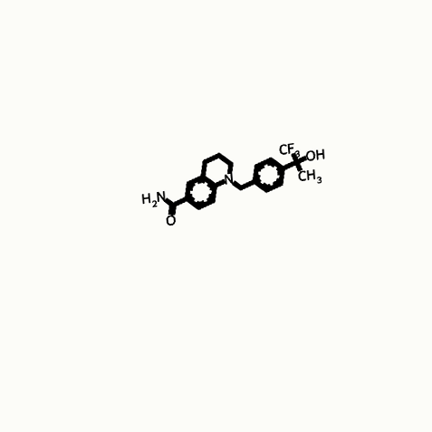 CC(O)(c1ccc(CN2CCCc3cc(C(N)=O)ccc32)cc1)C(F)(F)F